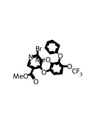 COC(=O)c1cnc(Br)cc1Oc1ccc(OC(F)(F)F)c(Oc2ccccc2)c1OC